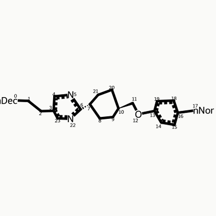 CCCCCCCCCCCCc1cnc([C@H]2CC[C@H](COc3ccc(CCCCCCCCC)cc3)CC2)nc1